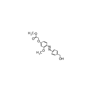 COC(=O)COc1ccc(/N=N/c2ccc(CO)cc2)c(OC)c1